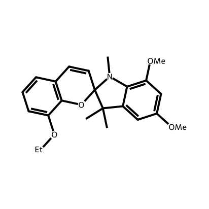 CCOc1cccc2c1OC1(C=C2)N(C)c2c(OC)cc(OC)cc2C1(C)C